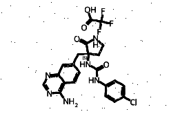 Nc1ncnc2cc(C[C@]3(NC(=O)Nc4ccc(Cl)cc4)CCNC3=O)ccc12.O=C(O)C(F)(F)F